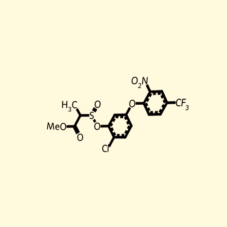 COC(=O)C(C)S(=O)Oc1cc(Oc2ccc(C(F)(F)F)cc2[N+](=O)[O-])ccc1Cl